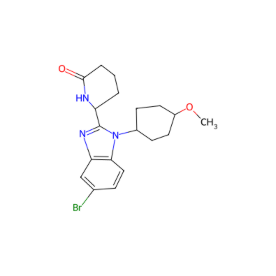 COC1CCC(n2c(C3CCCC(=O)N3)nc3cc(Br)ccc32)CC1